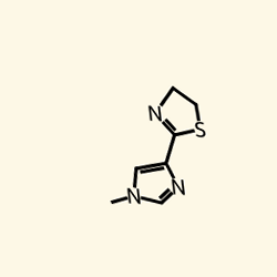 Cn1cnc(C2=NCCS2)c1